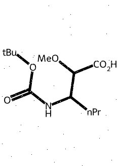 CCCC(NC(=O)OC(C)(C)C)C(OC)C(=O)O